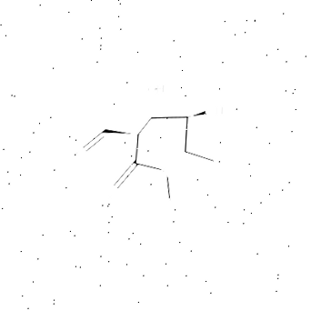 C=C[C@H](C(=O)OC)[C@H](O)[C@@H](C)CO